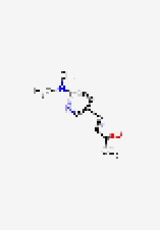 CN(C)c1ccc(/C=C/C(=O)C(=O)O)cn1